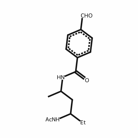 CCC(CC(C)NC(=O)c1ccc(C=O)cc1)NC(C)=O